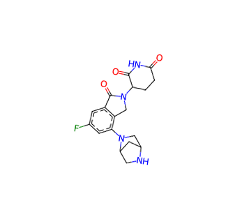 O=C1CCC(N2Cc3c(cc(F)cc3N3CC4CC3CN4)C2=O)C(=O)N1